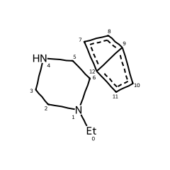 CCN1CCNCC1.c1cc2ccc1-2